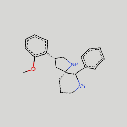 COc1ccccc1[C@@H]1CN[C@]2(CCCNC2c2ccccc2)C1